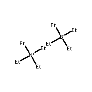 CC[B-](CC)(CC)CC.CC[N+](CC)(CC)CC